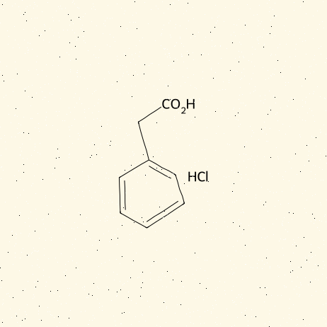 Cl.O=C(O)Cc1ccccc1